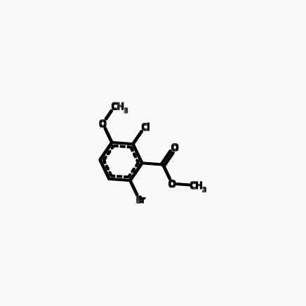 COC(=O)c1c(Br)ccc(OC)c1Cl